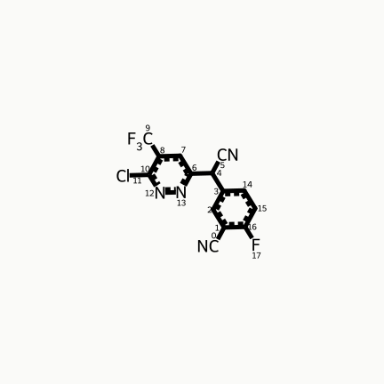 N#Cc1cc(C(C#N)c2cc(C(F)(F)F)c(Cl)nn2)ccc1F